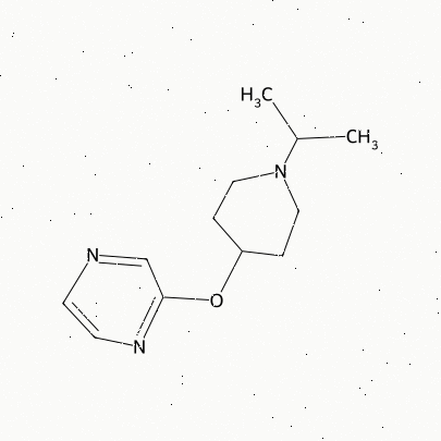 CC(C)N1CCC(Oc2cnccn2)CC1